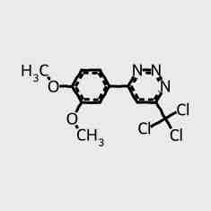 COc1ccc(-c2cc(C(Cl)(Cl)Cl)nnn2)cc1OC